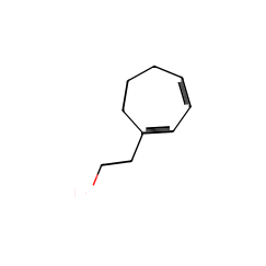 OCCC1=CC=CCCC1